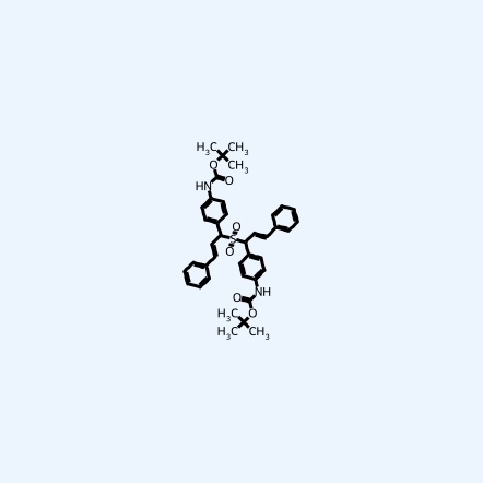 CC(C)(C)OC(=O)Nc1ccc(C(C=Cc2ccccc2)S(=O)(=O)C(C=Cc2ccccc2)c2ccc(NC(=O)OC(C)(C)C)cc2)cc1